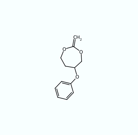 C=C1OCCC(Oc2ccccc2)CO1